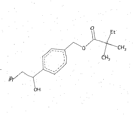 CCC(C)(C)C(=O)OCc1ccc(C(O)CC(C)C)cc1